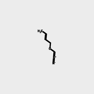 CC=CCOC=[N+]=[N-]